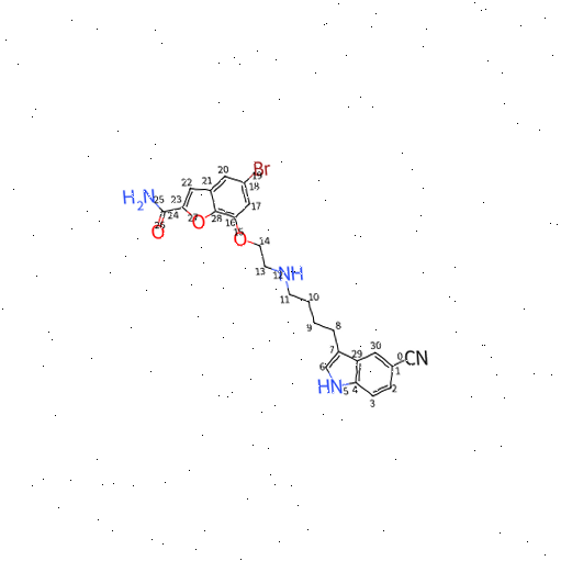 N#Cc1ccc2[nH]cc(CCCCNCCOc3cc(Br)cc4cc(C(N)=O)oc34)c2c1